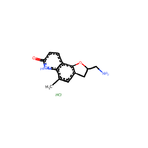 Cc1cc2c(c3ccc(=O)[nH]c13)OC(CN)C2.Cl